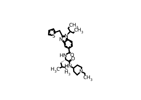 CCC(CC)n1c(Cc2cccs2)nc2cc(C(=O)N[C@@H](CC(C)C)C(=O)NC3CCN(CC)CC3)ccc21